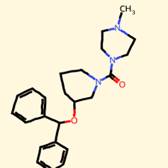 CN1CCN(C(=O)N2CCCC(OC(c3ccccc3)c3ccccc3)C2)CC1